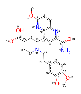 COc1ccc2nc(C(N)=O)cc(C3CC(C(=O)O)CCN3CCc3ccc4c(c3)OCO4)c2n1